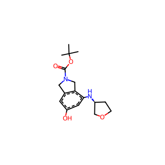 CC(C)(C)OC(=O)N1Cc2cc(O)cc(N[C@H]3CCOC3)c2C1